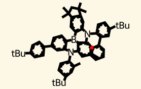 Cc1cc2c3c(c1)N(c1ccc(C(C)(C)C)cc1-c1ccccc1)c1cc4c(cc1B3c1ccc(-c3ccc(C(C)(C)C)cc3)cc1N2c1ccc(C(C)(C)C)cc1C)C(C)(C)CC4(C)C